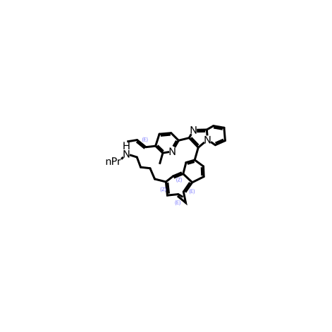 C/C=C/c1ccc(-c2nc3ccccn3c2-c2ccc3/c(c2)=C\C(CCCCNCCC)=C/C=C/C=3)nc1C